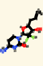 C=CCC1O[C@@H](n2ccc(N)nc2=O)C(F)(F)[C@@H]1O